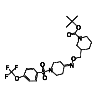 CC(C)(C)OC(=O)N1CCCC(CON=C2CCN(S(=O)(=O)c3ccc(OC(F)(F)F)cc3)CC2)C1